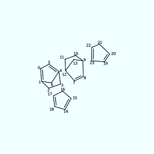 C1=C2CCC(=C1)C2.C1=CC2CCC1C2.C1=CCC=C1.C1=CCC=C1